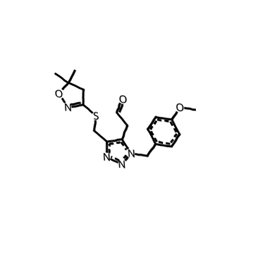 COc1ccc(Cn2nnc(CSC3=NOC(C)(C)C3)c2CC=O)cc1